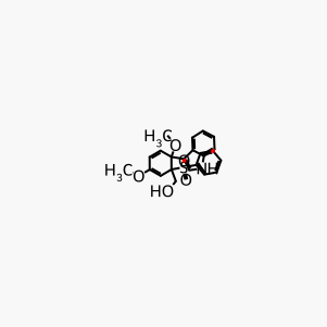 COC1=CC(CO)(S(=O)(=O)c2ccccc2)C(OC)(c2c[nH]c3ccccc23)C=C1